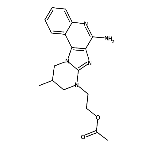 CC(=O)OCCN1CC(C)Cn2c1nc1c(N)nc3ccccc3c12